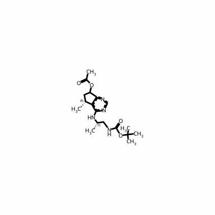 CC(=O)OC1C[C@@H](C)c2c(N[C@@H](C)CNC(=O)OC(C)(C)C)ncnc21